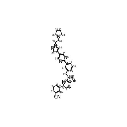 N#Cc1cccc(-c2cnc3nnn(Cc4cccc(-c5ncc(-c6cnn(CCN7CCCC7)c6)cn5)c4)c3n2)c1